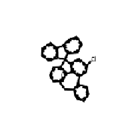 Clc1cc2c(c(C3(c4ccccc4)c4ccccc4-c4ccccc43)c1)OCCc1ccccc1-2